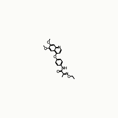 CCON=C(C)C(=O)Nc1ccc(Oc2ccnc3cc(OC)c(OC)cc23)cc1